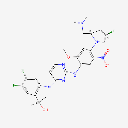 COc1cc(N2C[C@H](F)C[C@@H]2CN(C)C)c([N+](=O)[O-])cc1Nc1nccc(Nc2cc(Cl)c(F)cc2C(C)(C)O)n1